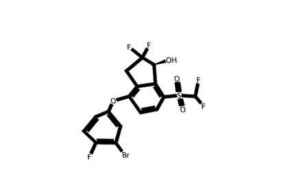 O=S(=O)(c1ccc(Oc2ccc(F)c(Br)c2)c2c1[C@H](O)C(F)(F)C2)C(F)F